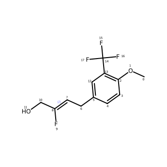 COc1ccc(C/C=C(\F)CO)cc1C(F)(F)F